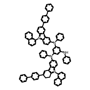 C1=C(c2ccc(-c3ccccc3)cc2)CCc2c1c1cc(N(c3ccccc3)c3cc(Nc4ccccc4)cc(N(c4ccccc4)c4ccc5c(c4)c4cc(-c6ccc(-c7ccccc7)cc6)ccc4n5-c4cccc5ccccc45)c3)ccc1n2-c1cccc2ccccc12